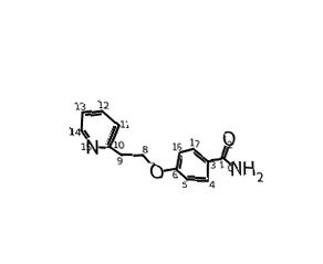 NC(=O)c1ccc(OCCc2ccccn2)cc1